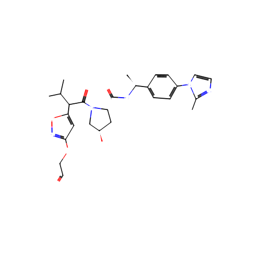 Cc1nccn1-c1ccc([C@H](C)NC(=O)[C@@H]2C[C@@H](O)CN2C(=O)C(c2cc(OCC=O)no2)C(C)C)cc1